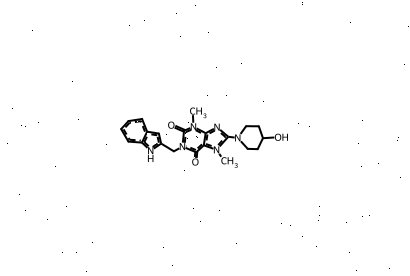 Cn1c(N2CCC(O)CC2)nc2c1c(=O)n(Cc1cc3ccccc3[nH]1)c(=O)n2C